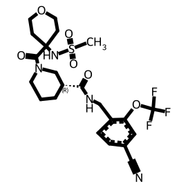 CS(=O)(=O)NC1(C(=O)N2CCC[C@@H](C(=O)NCc3ccc(C#N)cc3OC(F)(F)F)C2)CCOCC1